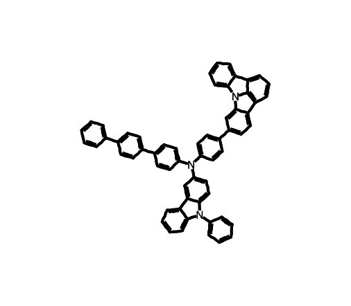 c1ccc(-c2ccc(-c3ccc(N(c4ccc(-c5ccc6c7cccc8c9ccccc9n(c6c5)c87)cc4)c4ccc5c(c4)c4ccccc4n5-c4ccccc4)cc3)cc2)cc1